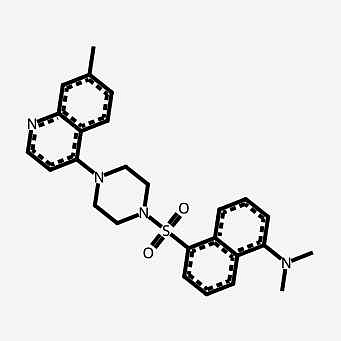 Cc1ccc2c(N3CCN(S(=O)(=O)c4cccc5c(N(C)C)cccc45)CC3)ccnc2c1